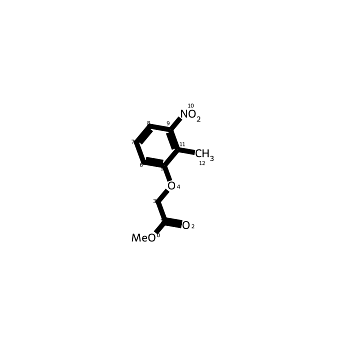 COC(=O)COc1cccc([N+](=O)[O-])c1C